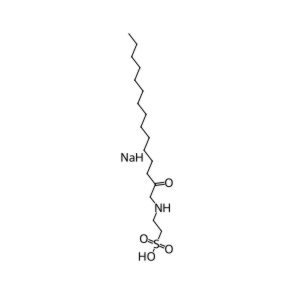 CCCCCCCCCCCCCC(=O)CNCCS(=O)(=O)O.[NaH]